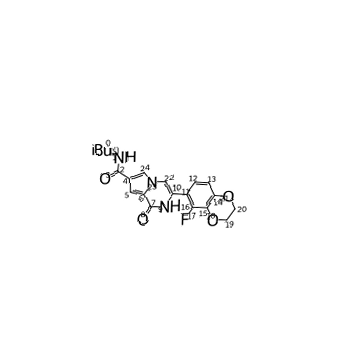 CC[C@H](C)NC(=O)c1cc2c(=O)[nH]c(-c3ccc4c(c3F)OCCO4)cn2c1